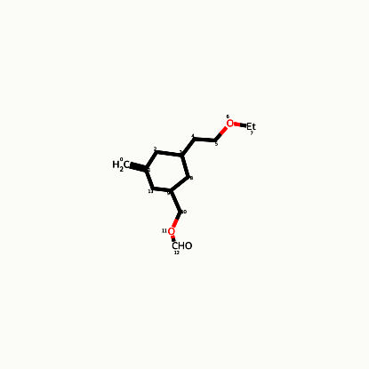 C=C1CC(CCOCC)CC(COC=O)C1